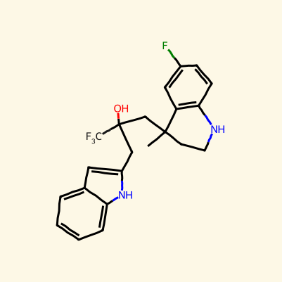 CC1(CC(O)(Cc2cc3ccccc3[nH]2)C(F)(F)F)CCNc2ccc(F)cc21